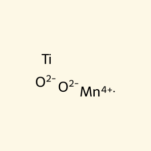 [Mn+4].[O-2].[O-2].[Ti]